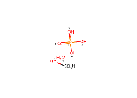 O.O=P(O)(O)O.O=S(=O)(O)O